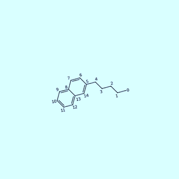 CCCCCc1ccc2ccccc2c1